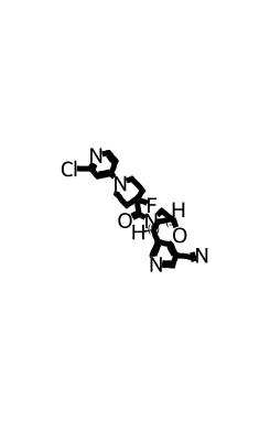 N#Cc1cncc2c1O[C@H]1C[C@@H]2N(C(=O)C2(F)CCN(c3ccnc(Cl)c3)CC2)C1